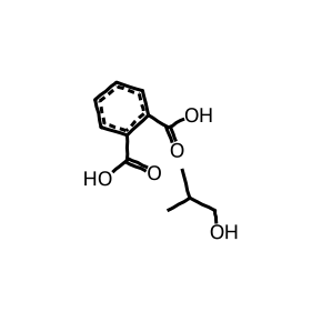 CC(C)CO.O=C(O)c1ccccc1C(=O)O